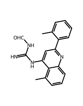 Cc1ccccc1-c1cc(NC(=N)NC=O)c2c(C)cccc2n1